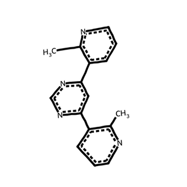 Cc1ncccc1-c1cc(-c2cccnc2C)ncn1